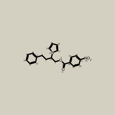 O=C(OCC(CCc1ccccc1)n1cccc1)c1ccc([N+](=O)[O-])cc1